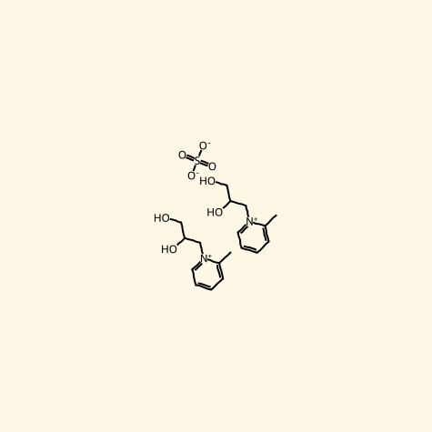 Cc1cccc[n+]1CC(O)CO.Cc1cccc[n+]1CC(O)CO.O=S(=O)([O-])[O-]